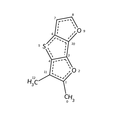 Cc1oc2c(sc3ccoc32)c1C